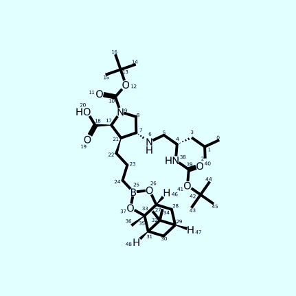 CC(C)C[C@@H](CN[C@H]1CN(C(=O)OC(C)(C)C)[C@H](C(=O)O)[C@@H]1CCCB1O[C@@H]2C[C@@H]3C[C@@H](C3(C)C)[C@]2(C)O1)NC(=O)OC(C)(C)C